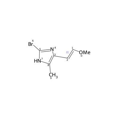 CO/C=C/c1nc(Br)[nH]c1C